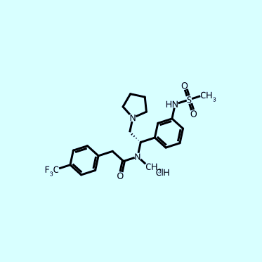 CN(C(=O)Cc1ccc(C(F)(F)F)cc1)[C@H](CN1CCCC1)c1cccc(NS(C)(=O)=O)c1.Cl